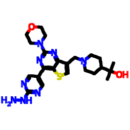 CC(C)(O)C1CCN(Cc2csc3c(-c4cnc(NN)nc4)nc(N4CCOCC4)nc23)CC1